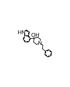 OC1(c2cccc3[nH]ccc23)CCN(CCc2ccccc2)CC1